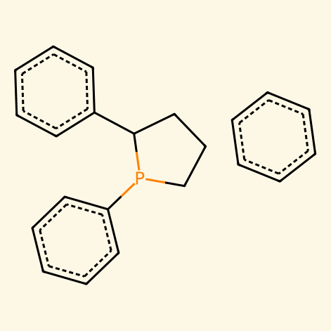 c1ccc(C2CCCP2c2ccccc2)cc1.c1ccccc1